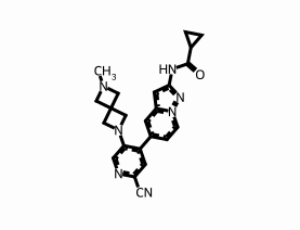 CN1CC2(C1)CN(c1cnc(C#N)cc1-c1ccn3nc(NC(=O)C4CC4)cc3c1)C2